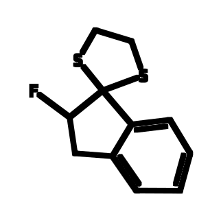 FC1Cc2ccccc2C12SCCS2